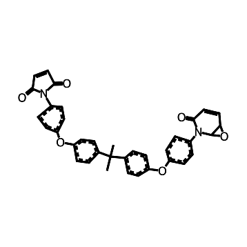 CC(C)(c1ccc(Oc2ccc(N3C(=O)C=CC3=O)cc2)cc1)c1ccc(Oc2ccc(N3C(=O)C=CC4OC43)cc2)cc1